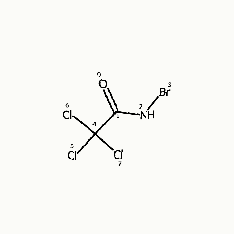 O=C(NBr)C(Cl)(Cl)Cl